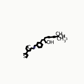 CC(C)(C)C#CC#CCC(CO)Cc1cccc(/C=C/c2cccc(-c3ccsc3)c2)c1